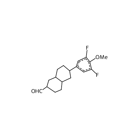 COc1c(F)cc(C2CCC3CC(C=O)CCC3C2)cc1F